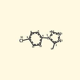 Cc1nnnn1-c1[c]cc(Cl)cc1